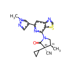 C[C@@H]1CN(c2nc(-c3cnn(C)c3)cc3ncsc23)C(=O)[C@]1(C#N)C1CC1